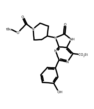 CCOC(=O)c1nc(-c2cccc(O)c2)nc2c1[nH]c(=O)n2C1CCN(C(=O)OC(C)(C)C)CC1